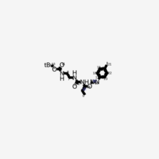 C/C=C(/NC(=O)NCCNC(=O)OC(C)(C)C)O/N=N/c1ccc(I)cc1